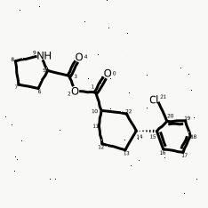 O=C(OC(=O)C1CCCN1)C1CCC[C@@H](c2ccccc2Cl)C1